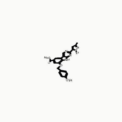 CCn1nc(C)cc1-c1ncc2c(n1)[nH]c1c(OCc3ccc(OC)cc3)cc(C(=O)OC)cc12